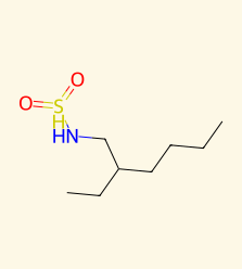 CCCCC(CC)CN[SH](=O)=O